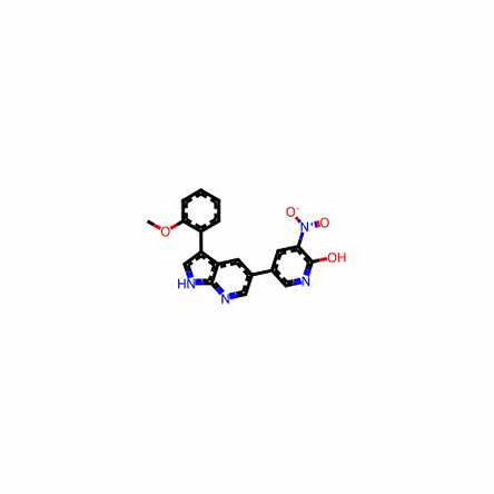 COc1ccccc1-c1c[nH]c2ncc(-c3cnc(O)c([N+](=O)[O-])c3)cc12